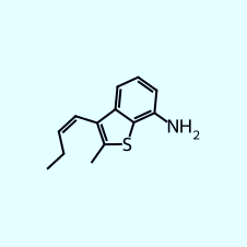 CC/C=C\c1c(C)sc2c(N)cccc12